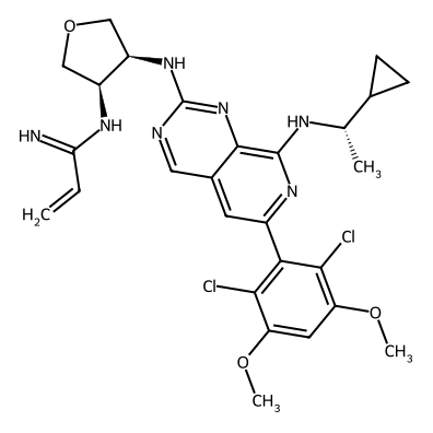 C=CC(=N)N[C@H]1COC[C@H]1Nc1ncc2cc(-c3c(Cl)c(OC)cc(OC)c3Cl)nc(N[C@@H](C)C3CC3)c2n1